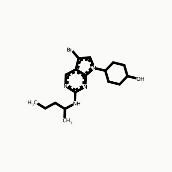 CCCC(C)Nc1ncc2c(Br)cn(C3CCC(O)CC3)c2n1